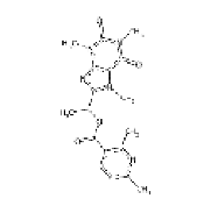 Cc1ccc(C(=O)OC(C)c2nc3c(c(=O)n(C)c(=O)n3C)n2C)c(C)n1